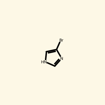 Brc1[c][nH]cn1